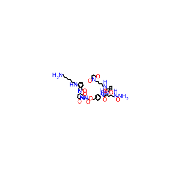 NCCCCCCCNc1cccc2c1CN(C1CCC(=O)N(CNC(=O)OCc3ccc(NC(=O)[C@H](CCCNC(N)=O)NC(=O)C4(C(=O)NCCCCCN5C(=O)C=CC5=O)CCC4)cc3)C1=O)C2=O